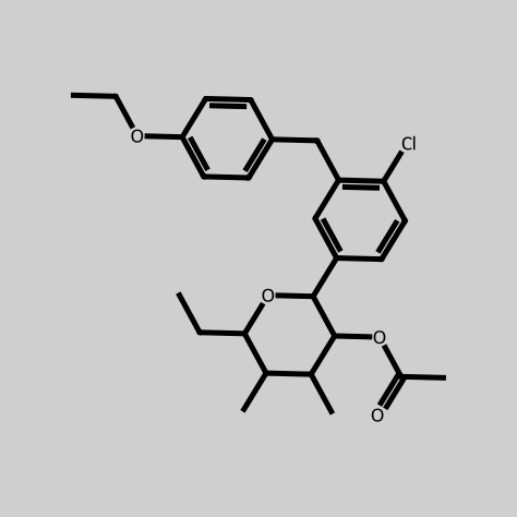 CCOc1ccc(Cc2cc(C3OC(CC)C(C)C(C)C3OC(C)=O)ccc2Cl)cc1